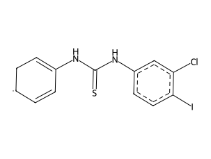 S=C(NC1=CC[CH]C=C1)Nc1ccc(I)c(Cl)c1